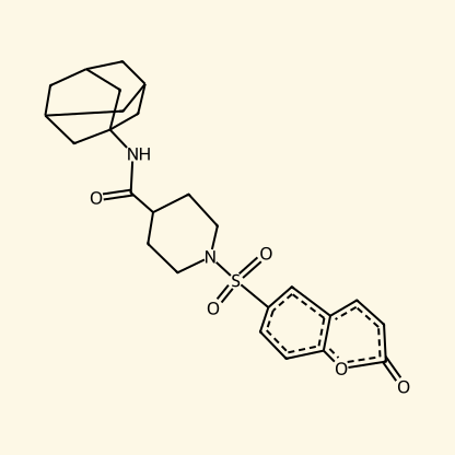 O=C(NC12CC3CC(CC(C3)C1)C2)C1CCN(S(=O)(=O)c2ccc3oc(=O)ccc3c2)CC1